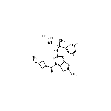 Cc1nc2nc(N[C@@H](C)c3cncc(F)c3)nc(C(=O)N3CC(CN)C3)c2s1.Cl.Cl.Cl